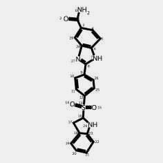 NC(=O)c1ccc2[nH]c(-c3ccc(S(=O)(=O)C4Cc5ccccc5N4)cc3)nc2c1